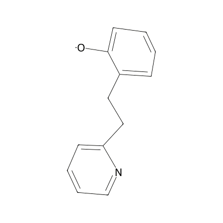 [O]c1ccccc1CCc1ccccn1